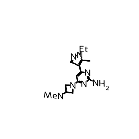 CCn1ncc(-c2cc(N3CC(NC)C3)nc(N)n2)c1C